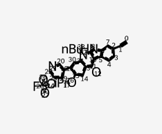 C#Cc1ccc2c(c1)[nH]c1c2c(=O)c2cc(OC(C)C)c(-c3cncc(OS(=O)(=O)F)c3)cc2n1CCCC